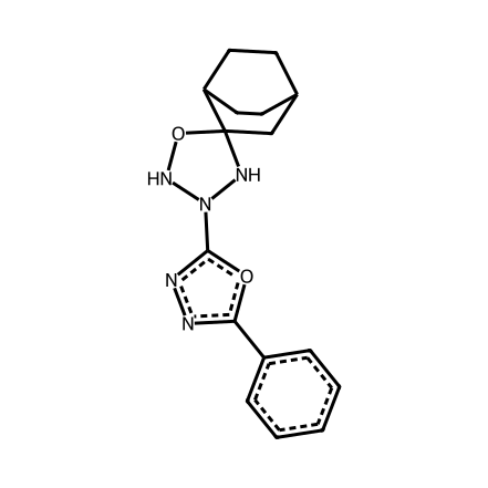 c1ccc(-c2nnc(N3NOC4(CC5CCC4CC5)N3)o2)cc1